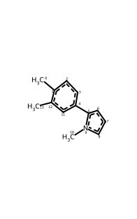 Cc1ccc(-c2c[c]cn2C)cc1C